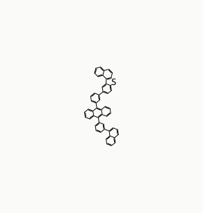 c1cc(-c2ccc3sc4ccc5ccccc5c4c3c2)cc(-c2c3ccccc3c(-c3cccc(-c4cccc5ccccc45)c3)c3ccccc23)c1